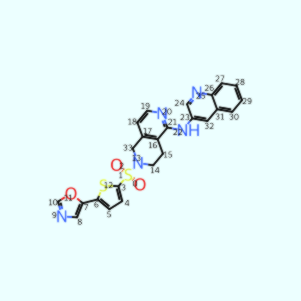 O=S(=O)(c1ccc(-c2cnco2)s1)N1CCc2c(ccnc2Nc2cnc3ccccc3c2)C1